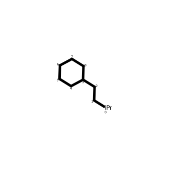 CC(C)CCC1[CH]CCCC1